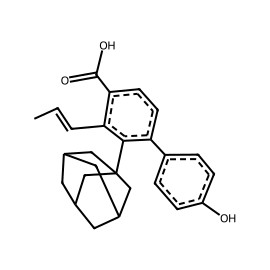 CC=Cc1c(C(=O)O)ccc(-c2ccc(O)cc2)c1C12CC3CC(CC(C3)C1)C2